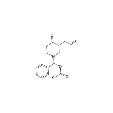 C=CCC1CN(C(OC(=O)Cl)c2ccccc2)CCC1=O